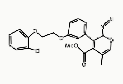 COC(=O)C1=C(c2cccc(OCCOc3ccccc3Cl)c2)C(N=[N])OC=C1C